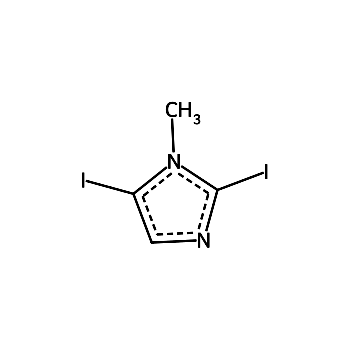 Cn1c(I)cnc1I